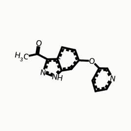 CC(=O)c1n[nH]c2cc(Oc3cccnc3)ccc12